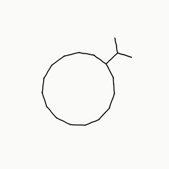 CC(C)C1CCCCCCCCCCCCCC1